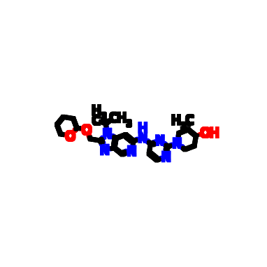 CC(C)n1c(COC2CCCCO2)nc2cnc(Nc3ccnc(N4CC[C@@H](O)[C@@H](C)C4)n3)cc21